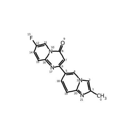 Cc1cn2cc(-c3cc(=O)n4cc(F)ccc4n3)ccc2n1